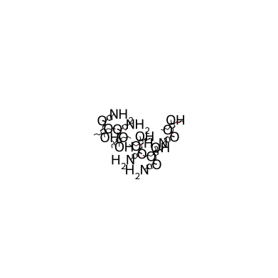 C=CC(C)(C)c1cc(C=CC(=O)c2ccc(N)cc2)c(OCCC)cc1O.C=CCc1cc(C=CC(=O)c2ccc(N)cc2)c(OCCC)cc1O.CC=CCc1cc(C=CC(=O)c2ccc(N)cc2)c(OCCC)cc1O.CCCOc1cc(O)c(C(C)(C)CC)cc1C=CC(=O)c1ccc(N)cc1.CCCOc1cc(O)c(CCC)cc1C=CC(=O)c1ccc(N)cc1